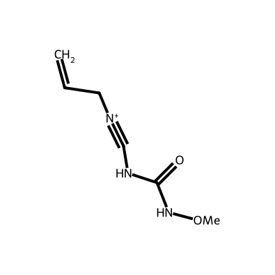 C=CC[N+]#CNC(=O)NOC